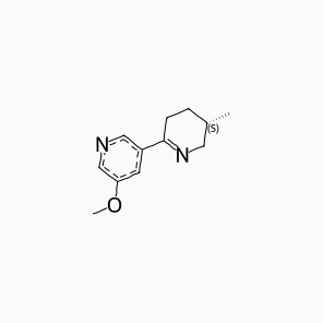 COc1cncc(C2=NC[C@@H](C)CC2)c1